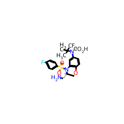 CC(C)(N(C(=O)O)c1ccc2c(c1)N(S(=O)(=O)c1ccc(F)cc1)[C@@H](CN)CO2)C(F)(F)F